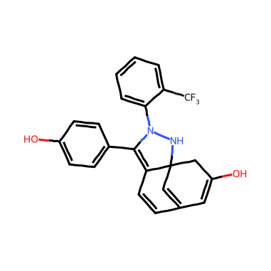 OC1=CC2=CC3(C1)NN(c1ccccc1C(F)(F)F)C(c1ccc(O)cc1)=C3C=C2